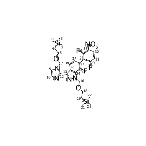 C[Si](C)(C)CCOCn1ccnc1-c1nn(COCC[Si](C)(C)C)c2c(F)c(-c3c(F)ccc([N+](=O)[O-])c3F)ccc12